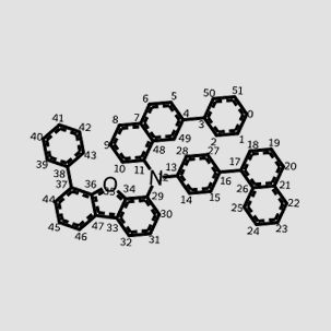 c1ccc(-c2ccc3cccc(N(c4ccc(-c5cccc6ccccc56)cc4)c4cccc5c4oc4c(-c6ccccc6)cccc45)c3c2)cc1